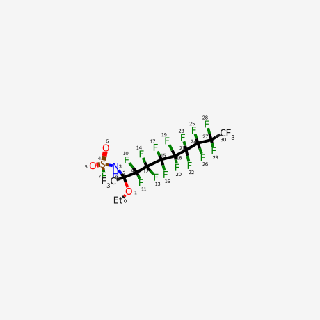 CCOC(NS(=O)(=O)F)(C(F)(F)F)C(F)(F)C(F)(F)C(F)(F)C(F)(F)C(F)(F)C(F)(F)C(F)(F)C(F)(F)F